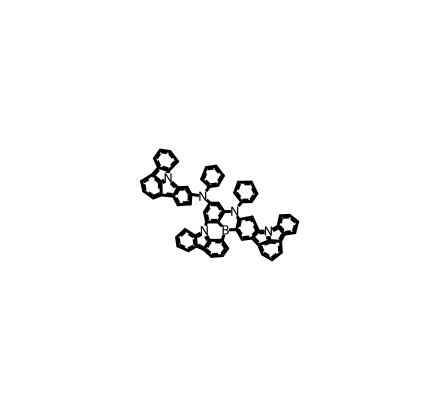 c1ccc(N(c2cc3c4c(c2)-n2c5ccccc5c5cccc(c52)B4c2cc4c5cccc6c7ccccc7n(c4cc2N3c2ccccc2)c65)c2ccc3c4cccc5c6ccccc6n(c3c2)c54)cc1